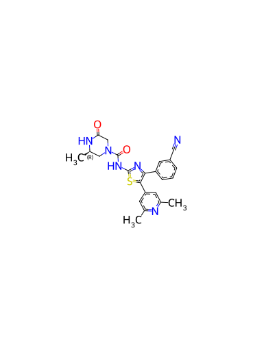 Cc1cc(-c2sc(NC(=O)N3CC(=O)N[C@H](C)C3)nc2-c2cccc(C#N)c2)cc(C)n1